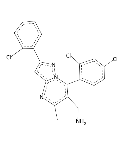 Cc1nc2cc(-c3ccccc3Cl)nn2c(-c2ccc(Cl)cc2Cl)c1CN